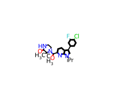 CC(C)n1cc(-c2ccc(Cl)c(F)c2)c2ccc(C(=O)N3CCNC(=O)C3(C)C)nc21